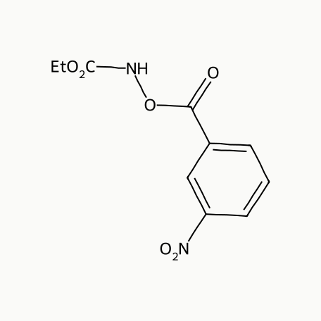 CCOC(=O)NOC(=O)c1cccc([N+](=O)[O-])c1